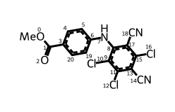 COC(=O)c1ccc(Nc2c(Cl)c(Cl)c(C#N)c(Cl)c2C#N)cc1